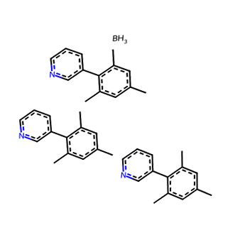 B.Cc1cc(C)c(-c2cccnc2)c(C)c1.Cc1cc(C)c(-c2cccnc2)c(C)c1.Cc1cc(C)c(-c2cccnc2)c(C)c1